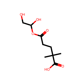 CC(C)(CCC(=O)OC(O)CO)C(=O)O